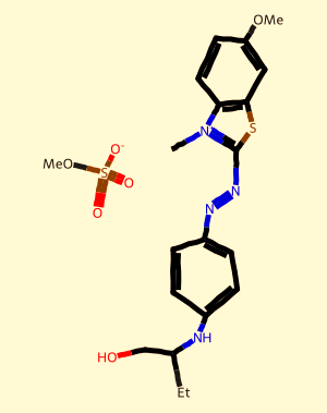 CCC(CO)Nc1ccc(N=Nc2sc3cc(OC)ccc3[n+]2C)cc1.COS(=O)(=O)[O-]